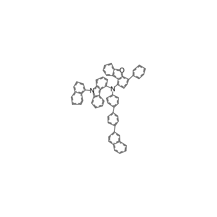 c1ccc(-c2ccc(N(c3ccc(-c4ccc(-c5ccc6ccccc6c5)cc4)cc3)c3cccc4c3c3ccccc3n4-c3cccc4ccccc34)c3c2oc2ccccc23)cc1